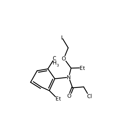 CCc1cccc(C)c1N(C(=O)CCl)C(CC)OCI